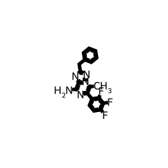 Cc1c(-c2ccc(F)c(F)c2F)nc(N)c2nc(Cc3ccccc3)nn12